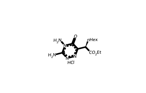 CCCCCC[C@@H](C(=O)OCC)c1nnc(N)n(N)c1=O.Cl